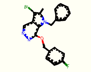 Cc1c(Br)c2cnnc(OCc3ccc(F)cc3)c2n1Cc1ccccc1